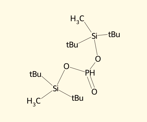 CC(C)(C)[Si](C)(O[PH](=O)O[Si](C)(C(C)(C)C)C(C)(C)C)C(C)(C)C